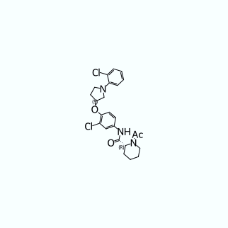 CC(=O)N1CCCC[C@@H]1C(=O)Nc1ccc(O[C@H]2CCN(c3ccccc3Cl)C2)c(Cl)c1